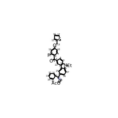 CCn1c2ccc(C(=O)c3ccc(OCc4cccs4)cc3F)cc2c2cc(/C(=N/OC(C)=O)c3ccccc3)ccc21